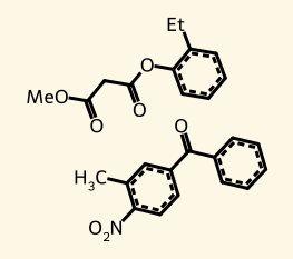 CCc1ccccc1OC(=O)CC(=O)OC.Cc1cc(C(=O)c2ccccc2)ccc1[N+](=O)[O-]